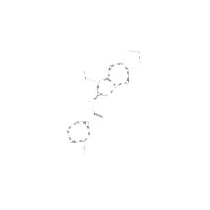 CCC(C(=O)O)n1/c(=N/C(=O)c2cccc(C(F)(F)F)c2)sc2cc3c(cc21)OCO3